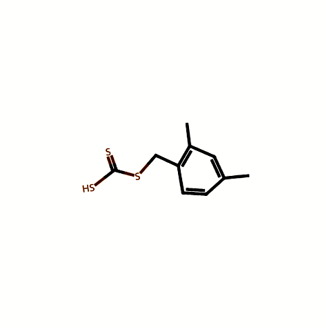 Cc1ccc(CSC(=S)S)c(C)c1